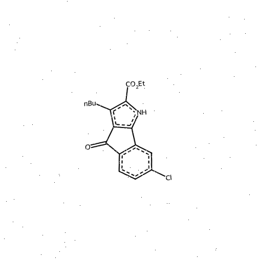 CCCCc1c(C(=O)OCC)[nH]c2c1C(=O)c1ccc(Cl)cc1-2